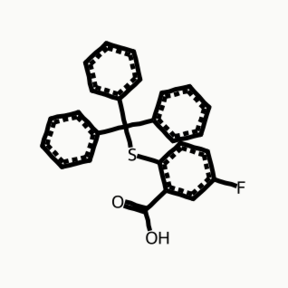 O=C(O)c1cc(F)ccc1SC(c1ccccc1)(c1ccccc1)c1ccccc1